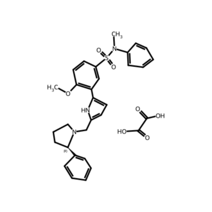 COc1ccc(S(=O)(=O)N(C)c2ccccc2)cc1-c1ccc(CN2CCC[C@@H]2c2ccccc2)[nH]1.O=C(O)C(=O)O